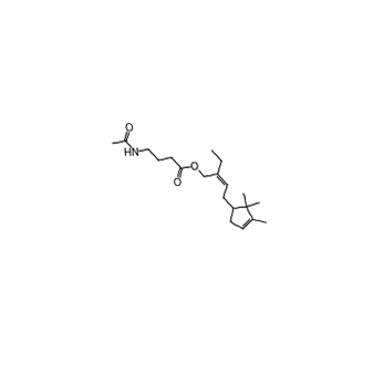 CCC(=CCC1CC=C(C)C1(C)C)COC(=O)CCCNC(C)=O